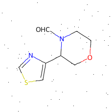 O=CN1CCOCC1c1cscn1